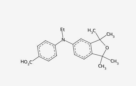 CCN(c1ccc(C(=O)O)cc1)c1ccc2c(c1)C(C)(C)OC2(C)C